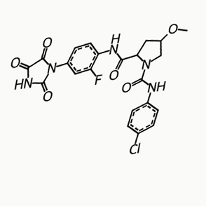 COC1CC(C(=O)Nc2ccc(N3C(=O)NC(=O)C3=O)cc2F)N(C(=O)Nc2ccc(Cl)cc2)C1